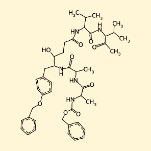 CC(=O)C(NC(=O)C(NC(=O)CCC(O)C(Cc1ccc(OCc2ccccc2)cc1)NC(=O)C(C)NC(=O)C(C)NC(=O)OCc1ccccc1)C(C)C)C(C)C